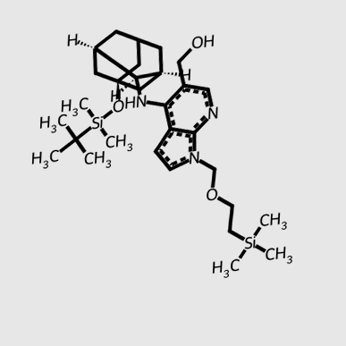 CC(C)(C)[Si](C)(C)O[C@]12CC3C[C@H](C1)[C@H](Nc1c(CO)cnc4c1ccn4COCC[Si](C)(C)C)[C@@H](C3)C2